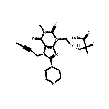 CC#CCn1c(N2CCNCC2)nc2c1c(=O)n(C)c(=O)n2CC(=O)O.O=C(O)C(F)(F)F